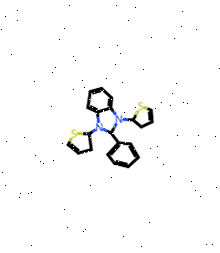 C1=CSC(N2c3ccccc3N(C3CC=CS3)C2c2ccccc2)C1